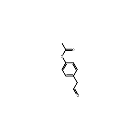 CC(=O)Oc1ccc(CC=O)cc1